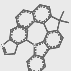 CC1(C)c2ccc3ccccc3c2-c2c1ccc1c3ccccc3n(-c3cccc4c3CC=N4)c21